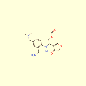 CN(C)Cc1ccc(N(N)C(COC=O)C2=COCC2=O)c(CN)c1